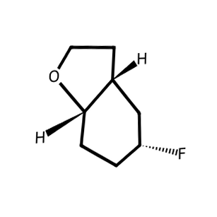 F[C@@H]1CC[C@@H]2OCC[C@@H]2C1